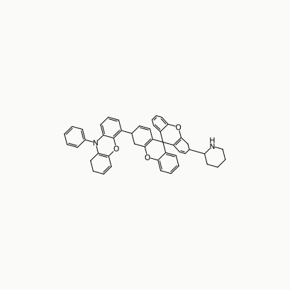 C1=CC2=C(CC1)N(c1ccccc1)c1cccc(C3C=CC4=C(C3)Oc3ccccc3C43C4=C(CC(C5CCCCN5)C=C4)Oc4ccccc43)c1O2